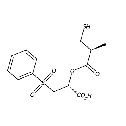 C[C@H](CS)C(=O)O[C@@H](CS(=O)(=O)c1ccccc1)C(=O)O